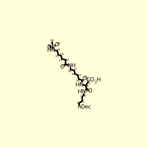 CCCCCCCCCCCCCCNC(=O)C(CC(=O)O)NC(=O)CCCCCNC(=O)CCCCCNS(C)(=O)=O